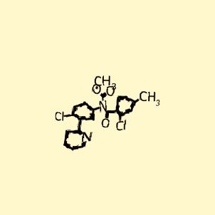 COC(=O)N(C(=O)c1ccc(C)cc1Cl)c1ccc(Cl)c(-c2ccccn2)c1